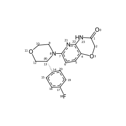 O=C1COc2ccc(N3CCOC[C@H]3c3ccc(F)cc3)nc2N1